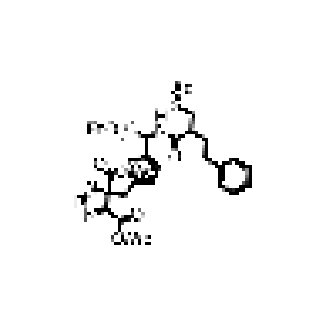 CCOC(=O)C(NC(=O)C(CCc1ccccc1)CSC(C)=O)c1ccc(CC2(C(=O)OC)N=NN=C2C(=O)OC)s1